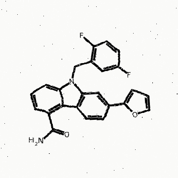 NC(=O)c1cccc2c1c1[c]cc(-c3ccco3)cc1n2Cc1cc(F)ccc1F